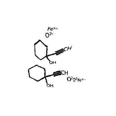 C#CC1(O)CCCCC1.C#CC1(O)CCCCC1.[Fe+3].[Fe+3].[O-2].[O-2].[O-2]